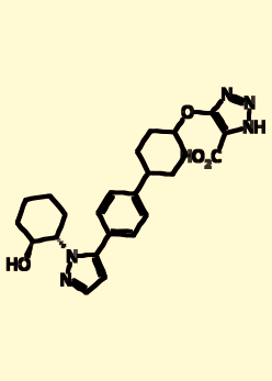 O=C(O)c1[nH]nnc1OC1CCC(c2ccc(-c3ccnn3[C@H]3CCCC[C@@H]3O)cc2)CC1